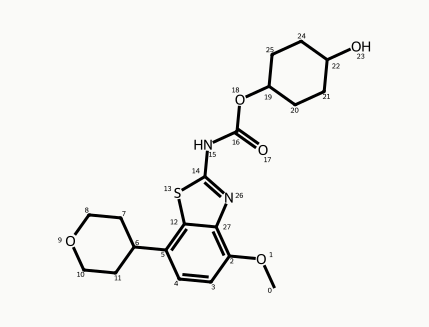 COc1ccc(C2CCOCC2)c2sc(NC(=O)OC3CCC(O)CC3)nc12